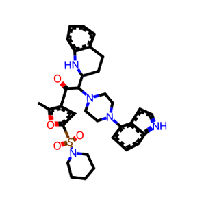 Cc1oc(S(=O)(=O)N2CCCCC2)cc1C(=O)C(C1CCc2ccccc2N1)N1CCN(c2cccc3[nH]ccc23)CC1